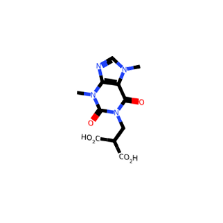 Cn1cnc2c1c(=O)n(CC(C(=O)O)C(=O)O)c(=O)n2C